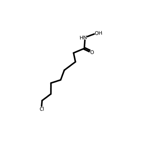 O=C(CCCCCCCCl)NO